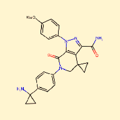 COc1ccc(-n2nc(C(N)=O)c3c2C(=O)N(c2ccc(C4(N)CC4)cc2)CC32CC2)cc1